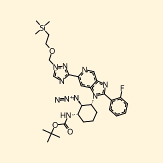 CC(C)(C)OC(=O)N[C@H]1CCC[C@@H](n2c(-c3ccccc3F)nc3cnc(-c4ncn(COCC[Si](C)(C)C)n4)cc32)[C@@H]1N=[N+]=[N-]